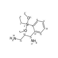 CC[Si](OC)(OC)c1ccccc1CCCN.N